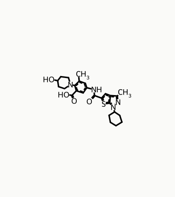 Cc1cc(NC(=O)c2cc3c(C)nn(C4CCCCC4)c3s2)cc(C(=O)O)c1N1CCC(O)CC1